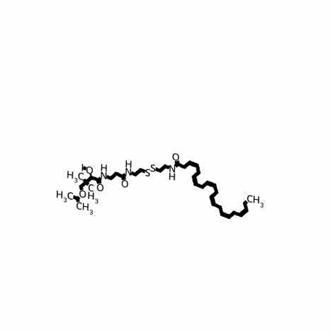 CC/C=C\C/C=C\C/C=C\C/C=C\C/C=C\C/C=C\CC(=O)NCCSSCCNC(=O)CCNC(=O)[C@H](OI)C(C)(C)COC(C)C